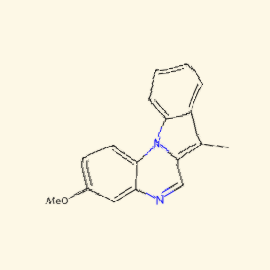 COc1ccc2c(c1)ncc1c(C)c3ccccc3n12